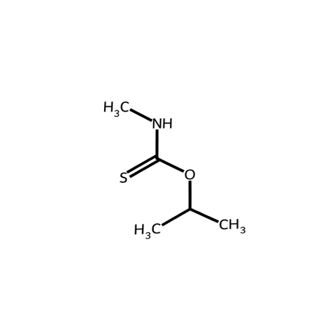 CNC(=S)OC(C)C